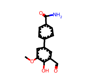 COc1cc(-c2ccc(C(N)=O)cc2)cc(C=O)c1O